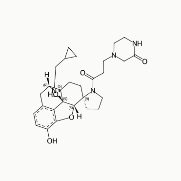 O=C1CN(CCC(=O)N2CCC[C@]23CC[C@@]2(O)[C@H]4Cc5ccc(O)c6c5[C@@]2(CCN4CC2CC2)[C@H]3O6)CCN1